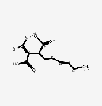 [2H]C([2H])=C(C(=O)O)C(CCCCCC)C(=O)O